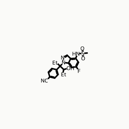 CCC(O)C(CC)(c1ccc(C#N)cc1)n1ncc2c(NS(C)(=O)=O)cc(F)cc21